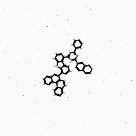 C1=Cc2ccc(-c3nc(-c4ccccc4)nc(-c4cccc5oc6c(-c7cc8ccccc8c8c7ccc7ccccc78)cccc6c45)n3)cc2CC1